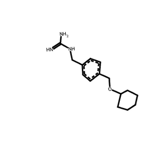 N=C(N)NCc1ccc(COC2CCCCC2)cc1